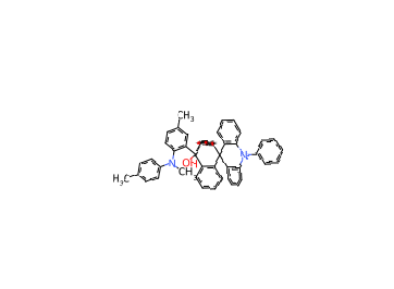 Cc1ccc(N(C)c2ccc(C)cc2C2(O)c3ccccc3C3(c4ccccc4N(c4ccccc4)c4ccccc43)c3ccccc32)cc1